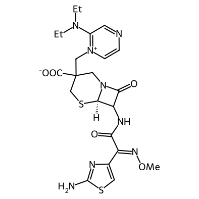 CCN(CC)c1cncc[n+]1CC1(C(=O)[O-])CS[C@@H]2C(NC(=O)C(=NOC)c3csc(N)n3)C(=O)N2C1